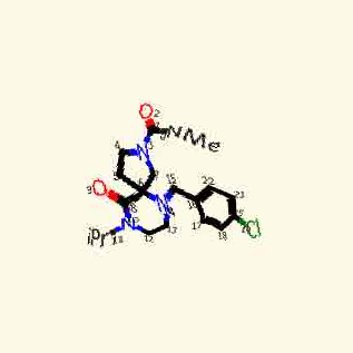 CNC(=O)N1CCC2(C1)C(=O)N(C(C)C)CCN2Cc1ccc(Cl)cc1